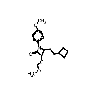 COCOC1C(=O)N(c2ccc(OC)cc2)C1CCC1CCC1